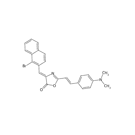 CN(C)c1ccc(/C=C/C2=NC(=C\c3ccc4ccccc4c3Br)/C(=O)O2)cc1